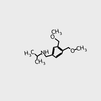 COCc1ccc(CNC(C)C)cc1COC